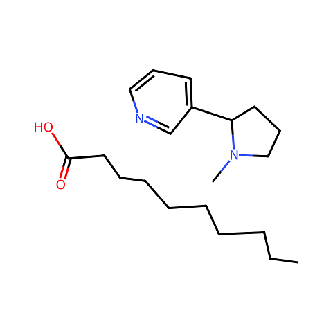 CCCCCCCCCC(=O)O.CN1CCCC1c1cccnc1